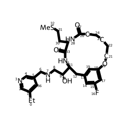 CCc1cncc(CNC[C@@H](O)C2Cc3cc(F)cc(c3)OCCCCCC(=O)NC(CCSC)C(=O)N2)c1